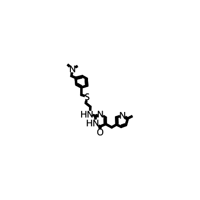 Cc1ccc(Cc2cnc(NCCSCc3cccc(CN(C)C)c3)[nH]c2=O)cn1